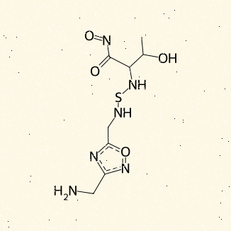 CC(O)C(NSNCc1nc(CN)no1)C(=O)N=O